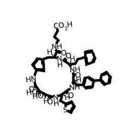 O=C(O)CCCNC(=O)[C@@H]1Cc2ccc(cc2)NC(=O)[C@H](O)[C@@H](O)C(=O)N[C@H](Cc2cccs2)C(=O)N[C@@H](Cc2ccc(-c3ccccc3)cc2)C(=O)N[C@H](CCc2ccccc2)C(=O)N1